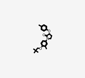 Cc1ccc(O[C@@H]2CCN(c3ccc(OCC(C)(C)C)c(C)c3)C2=O)cc1